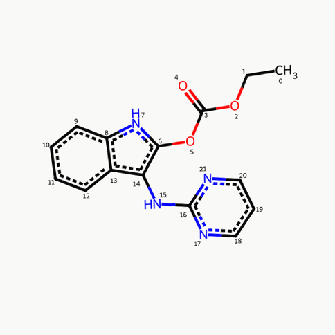 CCOC(=O)Oc1[nH]c2ccccc2c1Nc1ncccn1